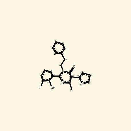 Cc1nc(-c2cccc(F)c2O)n(CCc2ccccc2)c(=O)c1-c1cccs1